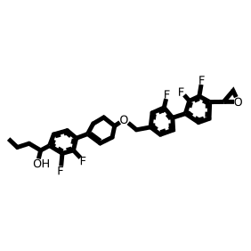 CCCC(O)c1ccc(C2=CCC(OCc3ccc(-c4ccc(C5CO5)c(F)c4F)c(F)c3)CC2)c(F)c1F